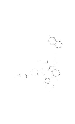 CCOC(=O)c1c(CCCOc2cccc3cc(F)ccc23)c2ccc(Cl)c(-c3c(CC)nn4c3COCC4)c2n1CCN1CCN(C(=O)OC(C)(C)C)CC1